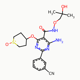 CC(C)(O)CONC(=O)c1c(N)nc(-c2cccc(C#N)c2)nc1OC1CC[S+]([O-])CC1